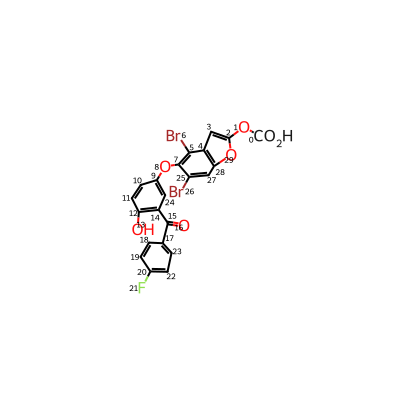 O=C(O)Oc1cc2c(Br)c(Oc3ccc(O)c(C(=O)c4ccc(F)cc4)c3)c(Br)cc2o1